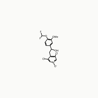 COc1cc(C(O)Cc2c(Cl)c[n+]([O-])cc2Cl)ccc1OC(F)F